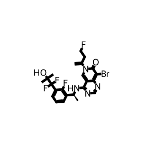 C=C(CCF)n1cc2c(N[C@@H](C)c3cccc(C(F)(F)C(C)(C)O)c3F)ncnc2c(Br)c1=O